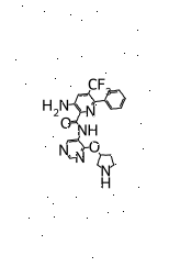 Nc1cc(C(F)(F)F)c(-c2ccccc2)nc1C(=O)Nc1cncnc1OC1CCNC1